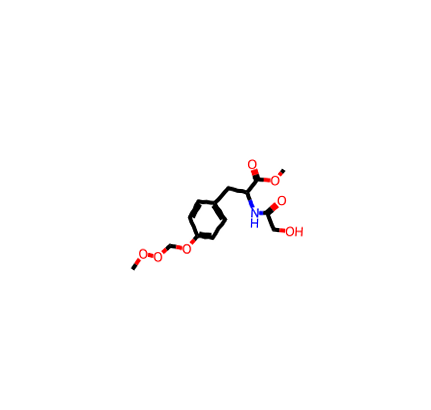 COOCOc1ccc(CC(NC(=O)CO)C(=O)OC)cc1